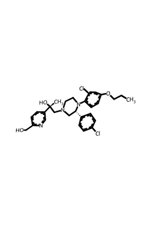 CCCOc1ccc(N2CCN(C[C@@](C)(O)c3ccc(CO)nc3)C[C@H]2c2ccc(Cl)cc2)c(Cl)c1